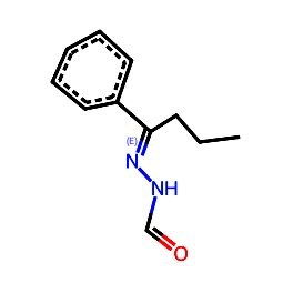 CCC/C(=N\NC=O)c1ccccc1